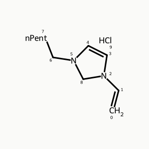 C=CN1C=CN(CCCCCC)C1.Cl